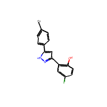 CCc1ccc(-c2cc(-c3cc(F)ccc3O)n[nH]2)cc1